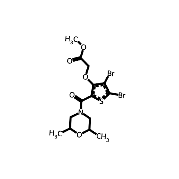 COC(=O)COc1c(C(=O)N2CC(C)OC(C)C2)sc(Br)c1Br